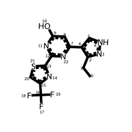 CCc1n[nH]cc1-c1cc(O)nc(-c2nc(C(F)(F)F)cs2)n1